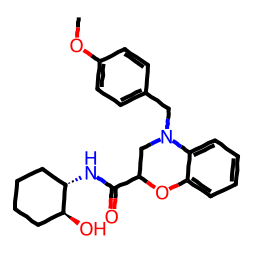 COc1ccc(CN2CC(C(=O)N[C@H]3CCCC[C@@H]3O)Oc3ccccc32)cc1